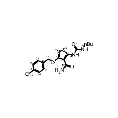 CCCCNC(=O)Nc1snc(SCc2ccc(Cl)cc2)c1C(N)=O